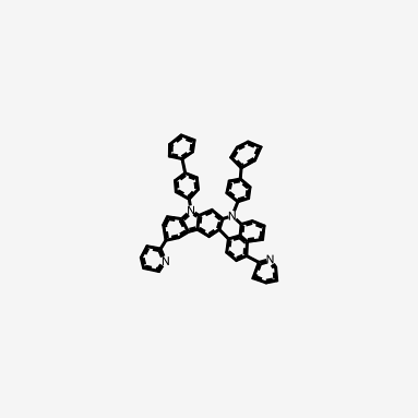 c1ccc(-c2ccc(N3c4cc5c(cc4-c4ccc(-c6ccccn6)c6cccc3c46)c3cc(-c4ccccn4)ccc3n5-c3ccc(-c4ccccc4)cc3)cc2)cc1